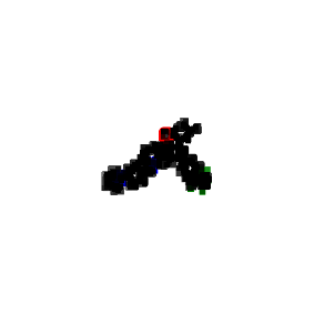 CC(=O)C(CC(C)C)c1cc(-c2ccc(C(F)(F)F)cc2)cc(C2CCCN(Cc3ccc(-n4cccc4)cc3)C2)c1